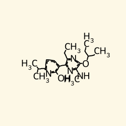 CCc1nc(OC(CC)CC)c(NC)nc1-c1ccc(C(C)C)nc1O